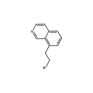 BrCCc1cccc2ccncc12